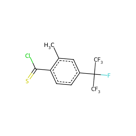 Cc1cc(C(F)(C(F)(F)F)C(F)(F)F)ccc1C(=S)Cl